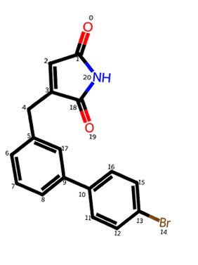 O=C1C=C(Cc2cccc(-c3ccc(Br)cc3)c2)C(=O)N1